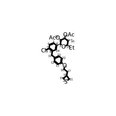 CC[C@H]1O[C@@H](c2ccc(Cl)c(Cc3ccc(OCCC4CSC4)cc3)c2)[C@H](OC(C)=O)[C@@H](OC(C)=O)[C@@H]1C